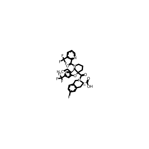 CCC[C@H]1N(C(=O)c2ncccc2C(F)(F)F)CCC[C@]1(Oc1csc(C(F)(F)F)c1)C(=O)N1Cc2ccc(F)cc2C[C@H]1C(=O)O